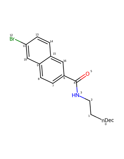 CCCCCCCCCCCCNC(=O)c1ccc2cc(Br)ccc2c1